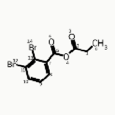 CCC(=O)OC(=O)c1cccc(Br)c1Br